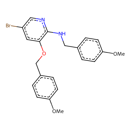 COc1ccc(CNc2ncc(Br)cc2OCc2ccc(OC)cc2)cc1